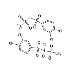 O=S(=O)(CS(=O)(=O)C(F)(F)F)c1ccc(Cl)c(Cl)c1.O=S(=O)(c1ccc(Cl)c(Cl)c1)C(Cl)(Cl)S(=O)(=O)C(F)(F)F